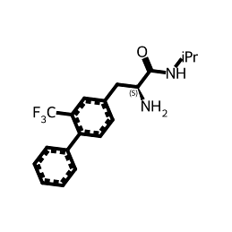 CC(C)NC(=O)[C@@H](N)Cc1ccc(-c2ccccc2)c(C(F)(F)F)c1